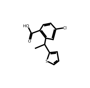 CC(c1cccs1)c1cc(Cl)ccc1C(=O)O